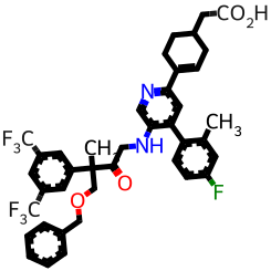 Cc1cc(F)ccc1-c1cc(C2=CCC(CC(=O)O)CC2)ncc1NCC(=O)C(C)(COCc1ccccc1)c1cc(C(F)(F)F)cc(C(F)(F)F)c1